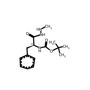 CNNC(=O)[C@H](Cc1ccccc1)NC(=O)OC(C)(C)C